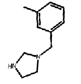 Cc1cccc(CN2CCNC2)c1